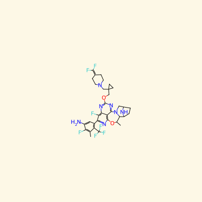 Cc1c(F)c(N)cc(-c2nc3c4c(nc(OCC5(CN6CCC(=C(F)F)CC6)CC5)nc4c2F)N2CC4CCC(N4)C2C(C)O3)c1C(F)(F)F